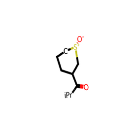 CC(C)C(=O)C1CCC[S+]([O-])C1